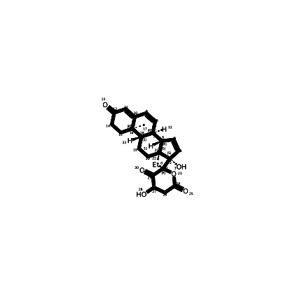 CC[C@]1([C@]2(O)C=C[C@H]3[C@@H]4C=CC5=CC(=O)CC[C@]5(C)[C@H]4CC[C@@]32C)OC(=O)CC(O)C1=O